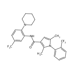 Cc1cc(C(=O)Nc2cc(C(F)(F)F)ccc2N2CCCCC2)c(C)n1-c1ccccc1C(F)(F)F